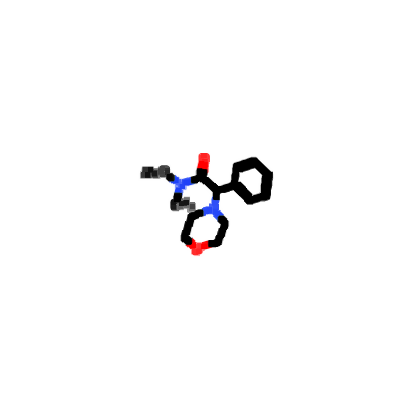 CON(C)C(=O)C(c1ccccc1)N1CCOCC1